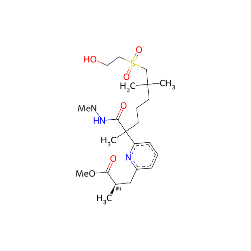 CNNC(=O)C(C)(CCCC(C)(C)CS(=O)(=O)CCO)c1cccc(C[C@@H](C)C(=O)OC)n1